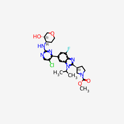 COC(=O)N1CC[C@H](c2nc3c(F)cc(-c4nc(N[C@@H]5CCOC[C@H]5O)ncc4Cl)cc3n2C(C)C)C1